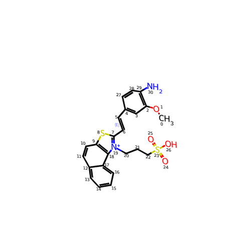 COc1cc(/C=C/c2sc3ccc4ccccc4c3[n+]2CCCS(=O)(=O)O)ccc1N